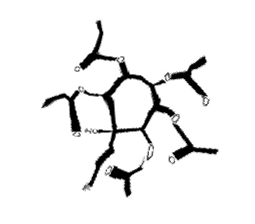 CC(=O)OC1C(OC(C)=O)[C@](O)(CCF)[C@@H](OC(C)=O)C(OC(C)=O)[C@H]1OC(C)=O